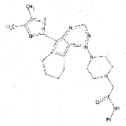 Cc1nc(-c2c3ncnn(N4CCN(CC(=O)NC(C)C)CC4)c-3c3c2CCCC3)sc1C